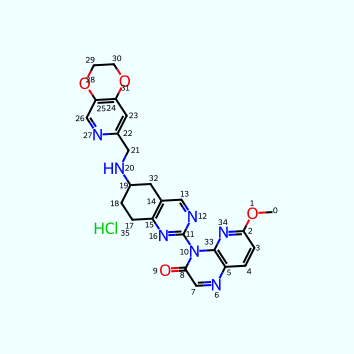 COc1ccc2ncc(=O)n(-c3ncc4c(n3)CCC(NCc3cc5c(cn3)OCCO5)C4)c2n1.Cl